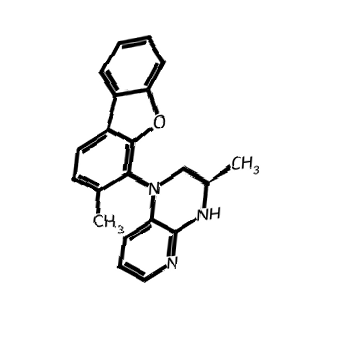 Cc1ccc2c(oc3ccccc32)c1N1C[C@@H](C)Nc2ncccc21